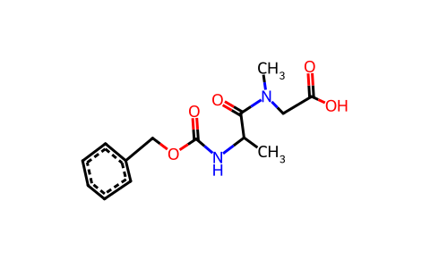 CC(NC(=O)OCc1ccccc1)C(=O)N(C)CC(=O)O